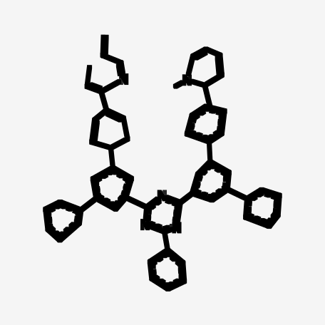 C=C/C=N\C(=C/C)C1=CCC(c2cc(-c3ccccc3)cc(-c3nc(-c4ccccc4)nc(-c4cc(-c5ccccc5)cc(-c5ccc(C6C=CC=CN6C)cc5)c4)n3)c2)C=C1